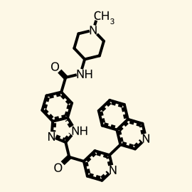 CN1CCC(NC(=O)c2ccc3nc(C(=O)c4ccnc(-c5cncc6ccccc56)c4)[nH]c3c2)CC1